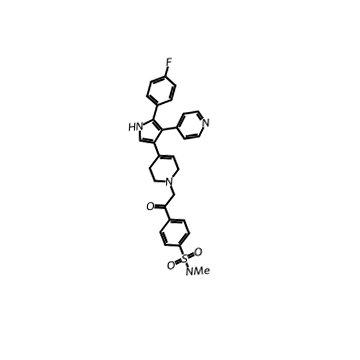 CNS(=O)(=O)c1ccc(C(=O)CN2CC=C(c3c[nH]c(-c4ccc(F)cc4)c3-c3ccncc3)CC2)cc1